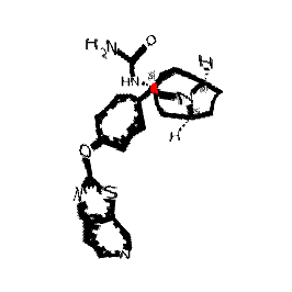 NC(=O)N[C@@H]1C[C@H]2CC[C@@H](C1)N2Cc1ccc(Oc2nc3ccncc3s2)cc1